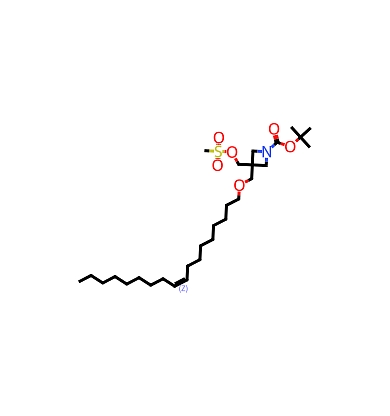 CCCCCCCC/C=C\CCCCCCCCOCC1(COS(C)(=O)=O)CN(C(=O)OC(C)(C)C)C1